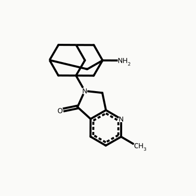 Cc1ccc2c(n1)CN(C13CC4CC(CC(N)(C4)C1)C3)C2=O